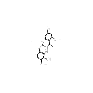 CC(NC(Cc1ccc(O)c(O)c1O)C(=O)O)c1ccc(O)cc1O